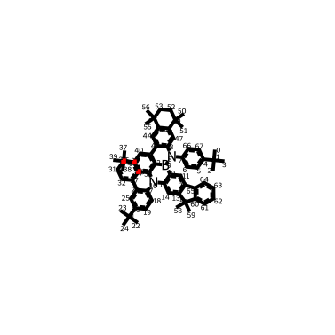 CC(C)(C)c1ccc(N2B3c4cc5c(cc4N(c4ccc(C(C)(C)C)cc4-c4ccccc4)c4cc(C(C)(C)C)cc(c43)-c3cc4c(cc32)C(C)(C)CCC4(C)C)C(C)(C)c2ccccc2-5)cc1